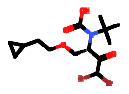 CC(C)(C)N(C(=O)O)[C@@H](COCCC1CC1)C(=O)C(Br)Br